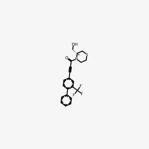 O=C(C#Cc1ccc(-c2ccccc2)c(C(F)(F)F)c1)N1CCSC[C@H]1CO